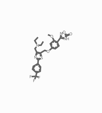 CCN(CC)Cc1nc(-c2ccc(C(F)(F)F)cc2)sc1COc1ccc(-c2noc(=O)[nH]2)c(OC)c1